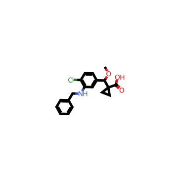 COC(c1ccc(Cl)c(NCc2ccccc2)c1)C1(C(=O)O)CC1